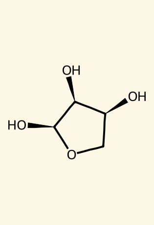 O[C@@H]1[C@H](O)OC[C@@H]1O